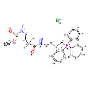 CN(CCC(C)(C)C(=O)NCCCC[P+](c1ccccc1)(c1ccccc1)c1ccccc1)C(=O)OC(C)(C)C.[Br-]